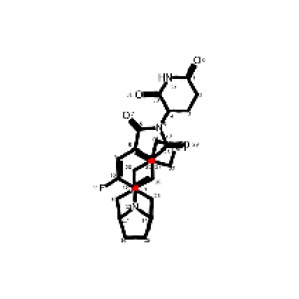 O=C1CCC(N2C(=O)c3cc(F)c(N4C5CCC4CN(CC4CNC4)C5)cc3C2=O)C(=O)N1